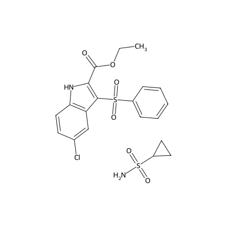 CCOC(=O)c1[nH]c2ccc(Cl)cc2c1S(=O)(=O)c1ccccc1.NS(=O)(=O)C1CC1